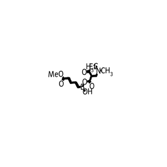 CCC(=O)C(CN(C)C)C(=O)OB(O)/C=C/C=C/C(=O)OC